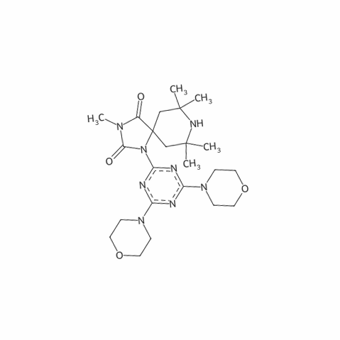 CN1C(=O)N(c2nc(N3CCOCC3)nc(N3CCOCC3)n2)C2(CC(C)(C)NC(C)(C)C2)C1=O